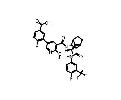 COc1ncc(-c2cc(C(=O)O)ccc2F)cc1C(=O)N[C@@H]1C2CCC(C2=C(C)C)[C@@H]1C(=O)Nc1ccc(F)c(C(F)(F)F)c1